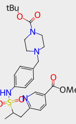 COC(=O)c1ccc(CC(C)S(=O)(=O)Nc2ccc(CN3CCN(C(=O)OC(C)(C)C)CC3)cc2)nc1